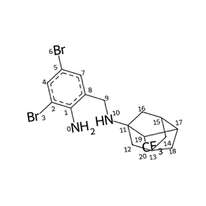 Nc1c(Br)cc(Br)cc1CNC12CC3CC(C1)C(C3)C2C(F)(F)F